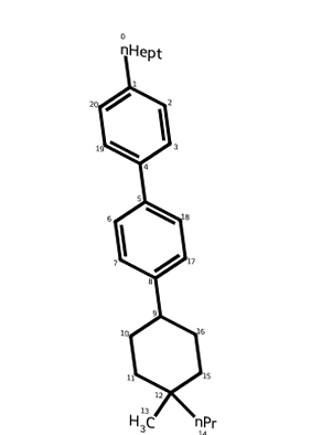 CCCCCCCc1ccc(-c2ccc(C3CCC(C)(CCC)CC3)cc2)cc1